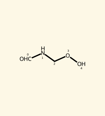 O=CNCOO